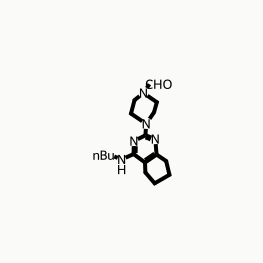 CCCCNc1nc(N2CCN(C=O)CC2)nc2c1CCCC2